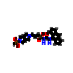 CS(=O)(=O)N1CC2CN(C/C=C/S(=O)(=O)NC(=O)Nc3c4c(cc5c3CCC5)CCC4)CC2C1